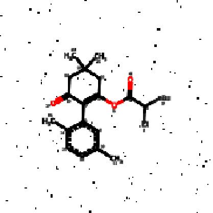 CCCCC(CC)C(=O)OC1=C(c2cc(C)ccc2C)C(=O)CC(C)(C)C1